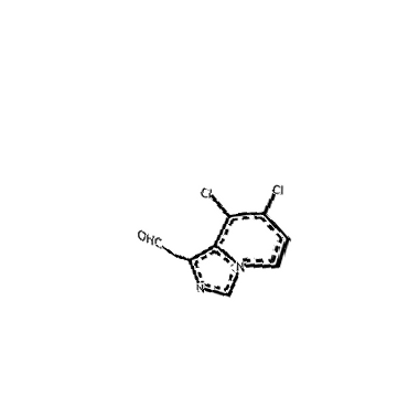 O=Cc1ncn2ccc(Cl)c(Cl)c12